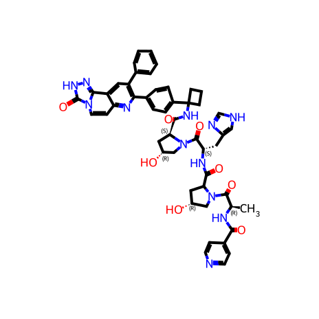 C[C@@H](NC(=O)c1ccncc1)C(=O)N1C[C@H](O)CC1C(=O)N[C@@H](Cc1c[nH]cn1)C(=O)N1C[C@H](O)C[C@H]1C(=O)NC1(c2ccc(-c3nc4ccn5c(=O)[nH]nc5c4cc3-c3ccccc3)cc2)CCC1